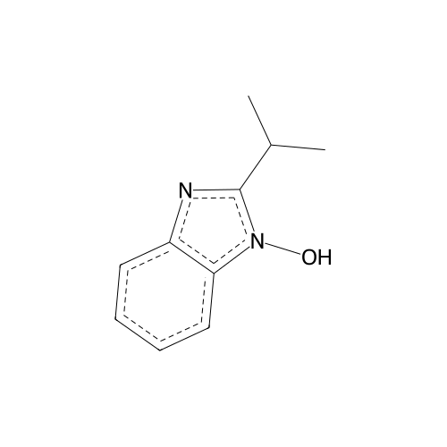 CC(C)c1nc2ccccc2n1O